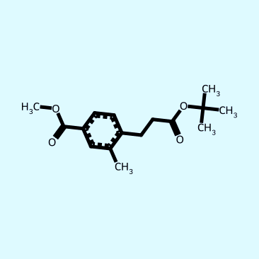 COC(=O)c1ccc(CCC(=O)OC(C)(C)C)c(C)c1